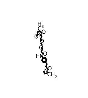 C=C1CCN1C(=O)CCc1ccc(NC(=O)CCOCCOCCN2C(=O)C=C(C)C2=O)cc1